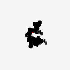 CC(C)n1cnc2cc(-c3ccc4c(c3)N(C3CC(N5CCCCC5)C3)C(=O)C43CCN(C(=O)c4ccc(C(=O)N5CCC(N(C)c6ccc([C@H]7CCC(=O)NC7=O)cn6)CC5)cc4)CC3)nc(Nc3ccccc3F)c21